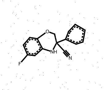 N#CC1(c2ccccc2)COc2ccc(F)cc2N1